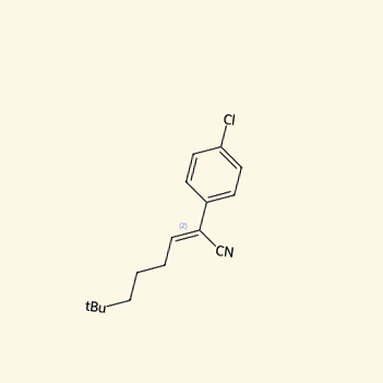 CC(C)(C)CCC/C=C(\C#N)c1ccc(Cl)cc1